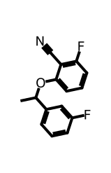 CC(Oc1cccc(F)c1C#N)c1cccc(F)c1